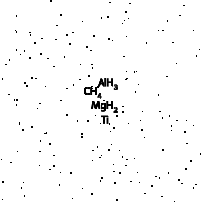 C.[AlH3].[MgH2].[Ti]